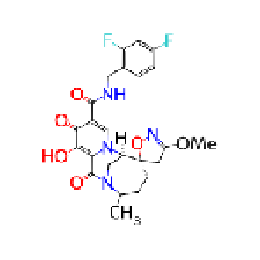 COC1=NO[C@@]2(CCC(C)N3C[C@H]2n2cc(C(=O)NCc4ccc(F)cc4F)c(=O)c(O)c2C3=O)C1